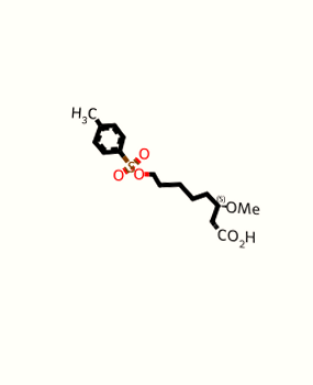 CO[C@@H](CCCCCOS(=O)(=O)c1ccc(C)cc1)CC(=O)O